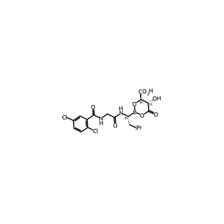 CC(C)C[C@H](NC(=O)CNC(=O)c1cc(Cl)ccc1Cl)B1OC(=O)[C@@H](O)[C@H](C(=O)O)O1